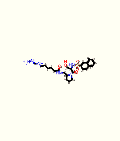 NN=CNCCCCCC(=O)NCC1CCCN1C(=O)C(CO)NS(=O)(=O)c1ccc2ccccc2c1